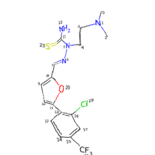 CN(C)CCN(N=Cc1ccc(-c2ccc(C(F)(F)F)cc2Cl)o1)C(N)=S